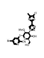 CO[C@@H]1[C@@H](n2cc(-c3nc(C)c(Cl)s3)nn2)[C@@H](O)[C@@H](CO)O[C@@H]1Sc1cc(Br)cnc1C#N